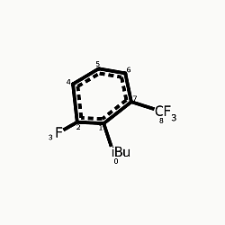 CCC(C)c1c(F)cccc1C(F)(F)F